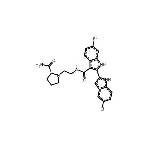 NC(=O)[C@@H]1CCCN1CCNC(=O)c1c(-c2cc3cc(Cl)ccc3[nH]2)[nH]c2cc(Br)ccc12